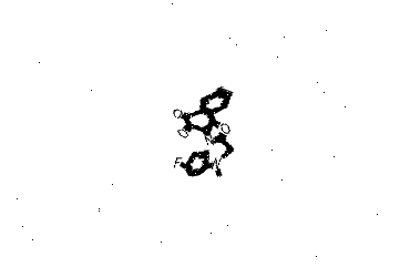 CN(Cc1nc2c(o1)-c1ccccc1C(=O)C2=O)c1ccc(F)cc1